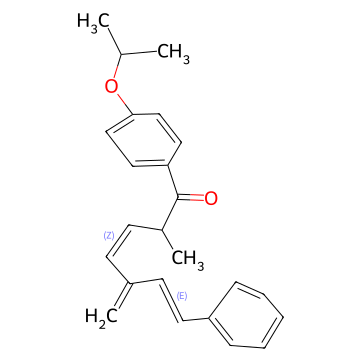 C=C(/C=C\C(C)C(=O)c1ccc(OC(C)C)cc1)/C=C/c1ccccc1